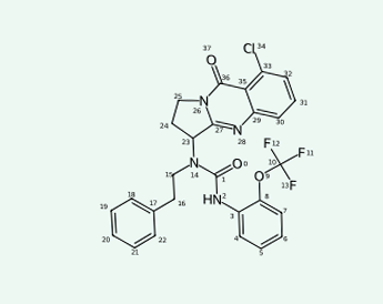 O=C(Nc1ccccc1OC(F)(F)F)N(CCc1ccccc1)C1CCn2c1nc1cccc(Cl)c1c2=O